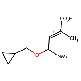 CNC(/C=C(\C)C(=O)O)OCC1CC1